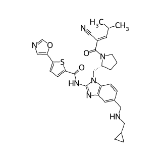 CC(C)/C=C(\C#N)C(=O)N1CCC[C@@H]1Cn1c(NC(=O)c2ccc(-c3cnco3)s2)nc2cc(CNCC3CC3)ccc21